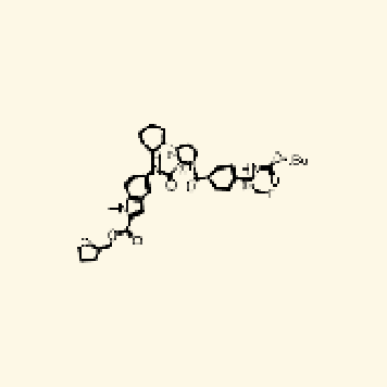 Cn1c(C(=O)OCC2CCCO2)cc2cc(NC(=O)[C@H]3[C@H](C4CCCCC4)CCN3C(=O)C3CCC([C@@H](CF)NC(=O)OC(C)(C)C)CC3)ccc21